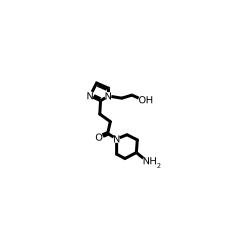 NC1CCN(C(=O)CCc2nccn2CCO)CC1